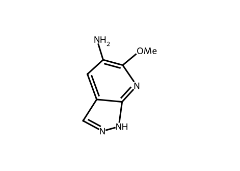 COc1nc2[nH]ncc2cc1N